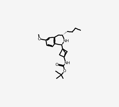 CCCC[C@H]1Cc2cc(OC)ccc2[C@H](C23CC(NC(=O)OC(C)(C)C)(C2)C3)N1